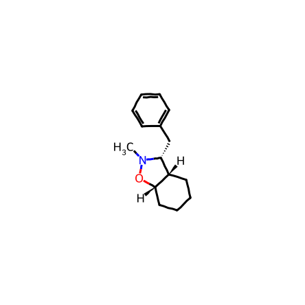 CN1O[C@H]2CCCC[C@H]2[C@H]1Cc1ccccc1